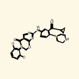 O=C(c1cc(Nc2ncc3c(n2)OCN(c2c(Cl)cccc2Cl)C3=O)ccc1N1CCNCC1)C1CC1